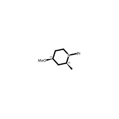 CO[C@H]1CCN(C(C)C)[C@@H](C)C1